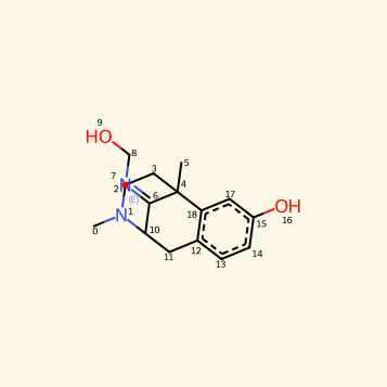 CN1CCC2(C)/C(=N\CO)C1Cc1ccc(O)cc12